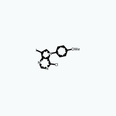 COc1ccc(-n2cc(I)c3ncnc(Cl)c32)cc1